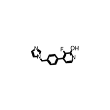 Oc1nccc(-c2ccc(Cn3ccnc3)cc2)c1F